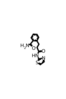 NC(=O)c1ccccc1C[CH]C(=O)Nc1nccs1